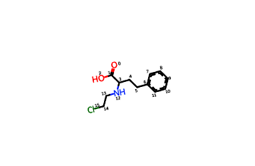 O=C(O)C(CCc1ccccc1)NCCCl